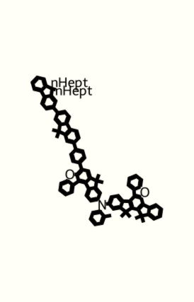 CCCCCCCC1(CCCCCCC)c2ccccc2-c2ccc(-c3ccc4c(c3)C(C)(C)c3cc(-c5ccc(-c6cc7c(c8c6oc6ccccc68)-c6ccc(N(c8ccc9c(c8)C(C)(C)c8c%10c(c%11oc%12ccccc%12c%11c8-9)-c8ccccc8C%10(C)C)c8ccccc8C)cc6C7(C)C)cc5)ccc3-4)cc21